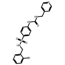 O=C(NCc1ccncc1)Nc1ccc(S(=O)(=O)NCc2ccccc2Br)cc1